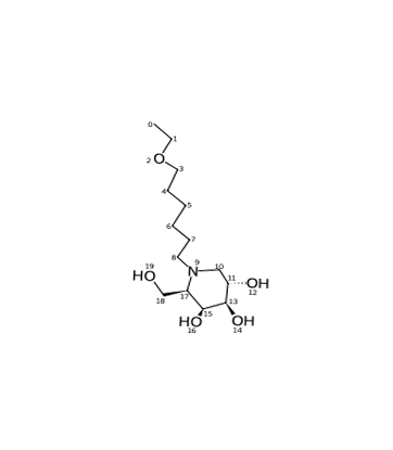 CCOCCCCCCN1C[C@H](O)[C@@H](O)[C@@H](O)[C@H]1CO